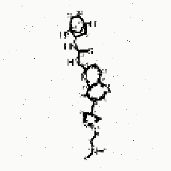 CN(C)CCn1cc(-c2cnc3ccc(NC(=S)N[C@@H]4C[C@H]5CC[C@@H]4C5)nc3c2)cn1